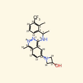 Cc1c(C(C)Nc2nnc(C)c3ccc(N4CC(O)C4)cc23)cccc1C(F)(F)F